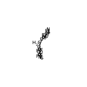 C=C(CCCOc1cc(F)c(C(=O)Oc2cc(F)c(N=C=S)c(F)c2)c(F)c1)CCCOc1cc(F)c(C(=O)Oc2cc(F)c(SC#N)c(F)c2)c(F)c1